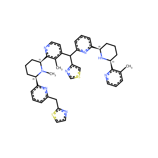 Cc1cccnc1[C@@H]1CCC[C@H](c2cccc(C(c3cscn3)c3ccnc([C@@H]4CCC[C@H](c5cccc(Cc6nccs6)n5)N4C)c3C)n2)N1